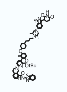 Cc1c(OC2CCC(CCCCN3[C@@H](C)CN(c4ccc5c(C6CCC(=O)NC6=O)nn(C)c5c4)C[C@@H]3C)CC2)cccc1-c1ccc(N2CCc3cccc(C(=O)Nc4nc5ccccc5s4)c3C2)nc1C(=O)OC(C)(C)C